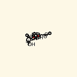 CC[C@]1(O)CC2CN(CCc3c([nH]c4ccccc34)[C@@](C)(c3cc4c(cc3C)N(C)[C@H]3[C@@](O)(C(=O)OC)[C@H](O[Si](C)(C)CCCCC(=O)OCc5ccccc5)[C@]5(CC)C=CCN6CC[C@]43[C@@H]65)C2)C1